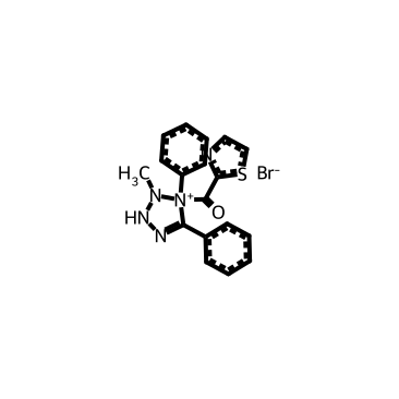 CN1NN=C(c2ccccc2)[N+]1(C(=O)c1nccs1)c1ccccc1.[Br-]